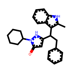 Cc1[nH]c2ccccc2c1C(Cc1ccccc1)c1cc(=O)n(C2CCCCC2)[nH]1